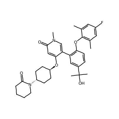 Cc1cc(F)cc(C)c1Oc1ccc(C(C)(C)O)cc1-c1cn(C)c(=O)cc1O[C@H]1CC[C@H](N2CCCCC2=O)CC1